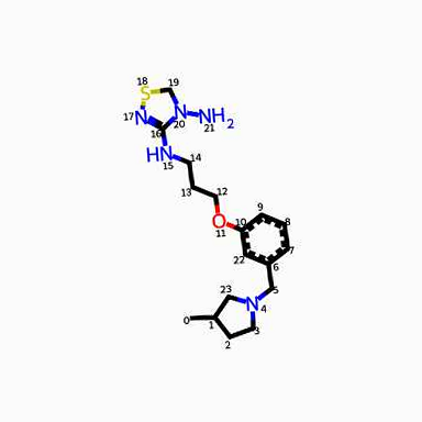 CC1CCN(Cc2cccc(OCCCNC3=NSCN3N)c2)C1